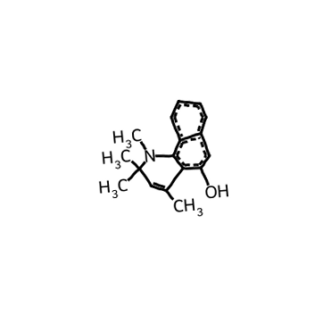 CC1=CC(C)(C)N(C)c2c1c(O)cc1ccccc21